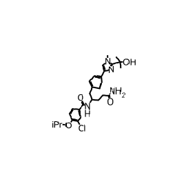 CC(C)Oc1ccc(C(=O)NC(CCC(N)=O)Cc2ccc(-c3cn(C)c(C(C)(C)O)n3)cc2)cc1Cl